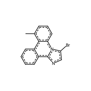 Cc1cccc2c1c1ccccc1c1ncc(Br)n21